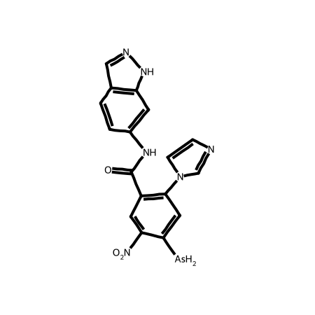 O=C(Nc1ccc2cn[nH]c2c1)c1cc([N+](=O)[O-])c([AsH2])cc1-n1ccnc1